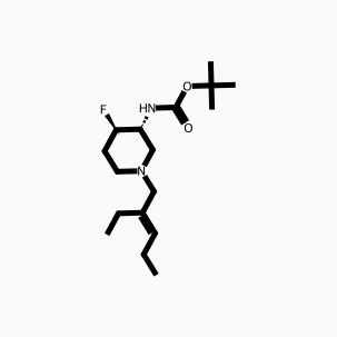 CC/C=C(\CC)CN1CC[C@@H](F)[C@H](NC(=O)OC(C)(C)C)C1